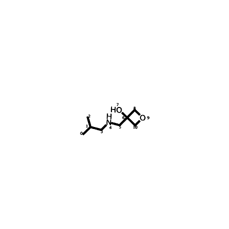 CC(C)CNCC1(O)COC1